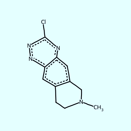 CN1CCc2cc3nnc(Cl)nc3cc2C1